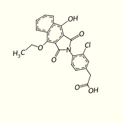 CCOc1c2c(c(O)c3ccccc13)C(=O)N(c1ccc(CC(=O)O)cc1Cl)C2=O